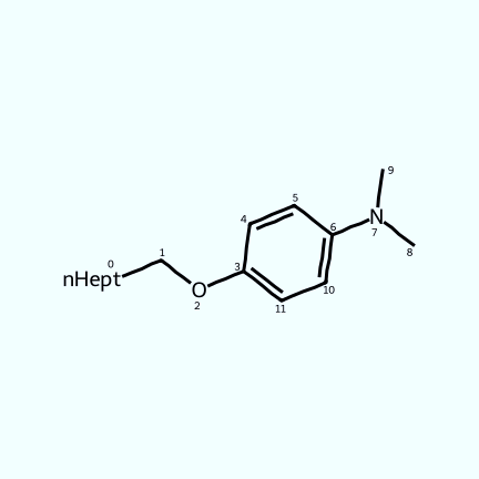 CCCCCCCCOc1ccc(N(C)C)cc1